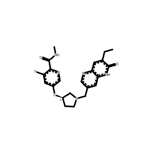 CCc1cc2ncc(CN3CC[C@@H](Oc4cnc(C(=O)NC)c(F)c4)C3)cc2[nH]c1=O